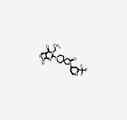 CCn1c(N2CCC3(CC2)CC(=O)N(c2ccnc(C(F)(F)F)c2)C3)nc2[nH]ncc2c1=O